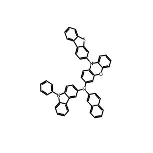 c1ccc(-n2c3ccccc3c3cc(N(c4ccc5c(c4)Oc4ccccc4N5c4ccc5c(c4)sc4ccccc45)c4ccc5ccccc5c4)ccc32)cc1